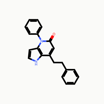 O=c1cc(CCc2ccccc2)c2[nH]ccc2n1-c1ccccc1